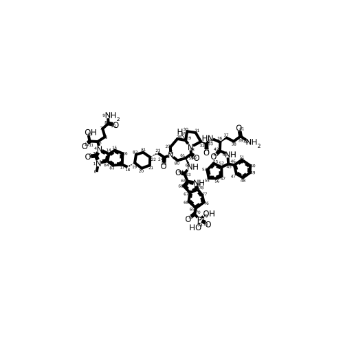 Cn1c(=O)n(C(CCC(N)=O)C(=O)O)c2ccc(C[C@H]3CC[C@@H](CC(=O)N4CC[C@H]5CC[C@@H](C(=O)N[C@@H](CCC(N)=O)C(=O)NC(c6ccccc6)c6ccccc6)N5C(=O)[C@@H](NC(=O)c5cc6cc(C(=O)P(=O)(O)O)ccc6[nH]5)C4)CC3)cc21